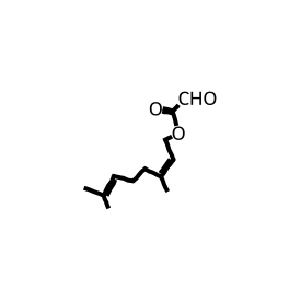 CC(C)=CCCC(C)=CCOC(=O)C=O